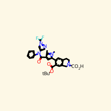 Cc1c(C(=O)N(c2ccccc2)c2cnn(C(F)F)c2)cc(-c2cc3c(cc2C(=O)OC(C)(C)C)CN(C(=O)O)CC3)n1C